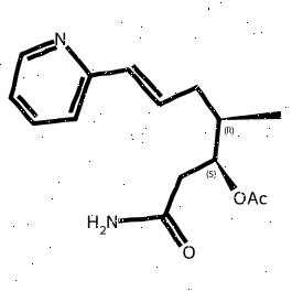 CC(=O)O[C@@H](CC(N)=O)[C@H](C)CC=Cc1ccccn1